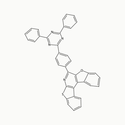 c1ccc(-c2nc(-c3ccccc3)nc(-c3ccc(-c4nc5sc6ccccc6c5c5c4oc4ccccc45)cc3)n2)cc1